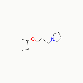 CCC(C)OCCCN1CCCC1